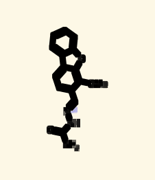 COc1c(/C=N/NC(N)=O)ccc2c1oc1ccccc12